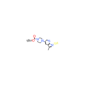 Cc1cn(S)c2ncc(N3CCN(C(=O)OC(C)(C)C)CC3)cc12